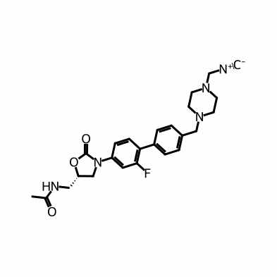 [C-]#[N+]CN1CCN(Cc2ccc(-c3ccc(N4C[C@H](CNC(C)=O)OC4=O)cc3F)cc2)CC1